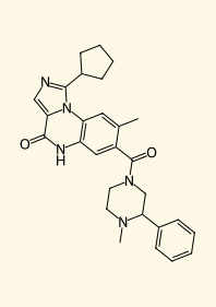 Cc1cc2c(cc1C(=O)N1CCN(C)C(c3ccccc3)C1)[nH]c(=O)c1cnc(C3CCCC3)n12